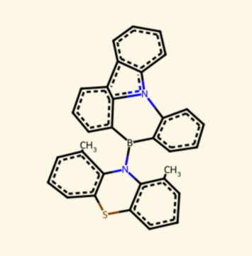 Cc1cccc2c1N(B1c3ccccc3-n3c4ccccc4c4cccc1c43)c1c(C)cccc1S2